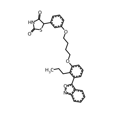 CCCc1c(OCCCCOc2cccc(C3SC(=O)NC3=O)c2)cccc1-c1onc2ccccc12